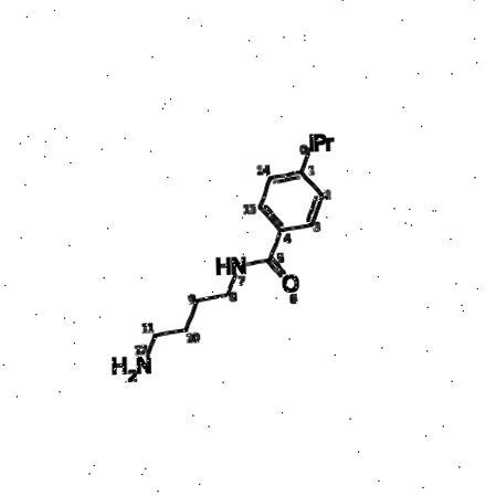 CC(C)c1ccc(C(=O)NCCCCN)cc1